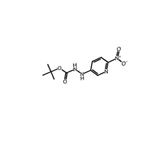 CC(C)(C)OC(=O)NNc1ccc([N+](=O)[O-])nc1